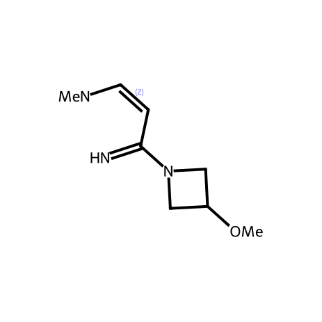 CN/C=C\C(=N)N1CC(OC)C1